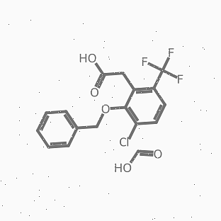 O=C(O)Cc1c(C(F)(F)F)ccc(Cl)c1OCc1ccccc1.O=CO